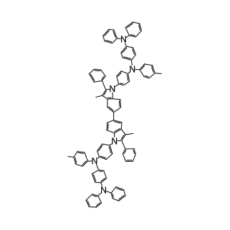 Cc1ccc(N(c2ccc(N(c3ccccc3)c3ccccc3)cc2)c2ccc(-n3c(-c4ccccc4)c(C)c4cc(-c5ccc6c(c5)c(C)c(-c5ccccc5)n6-c5ccc(N(c6ccc(C)cc6)c6ccc(N(c7ccccc7)c7ccccc7)cc6)cc5)ccc43)cc2)cc1